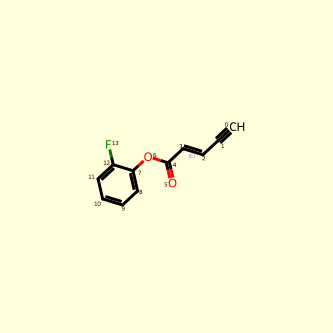 C#C/C=C/C(=O)Oc1ccccc1F